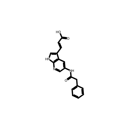 O=C(O)/C=C/c1c[nH]c2ncc(NC(=O)Cc3ccccc3)cc12